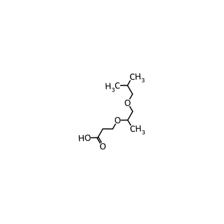 CC(C)COCC(C)OCCC(=O)O